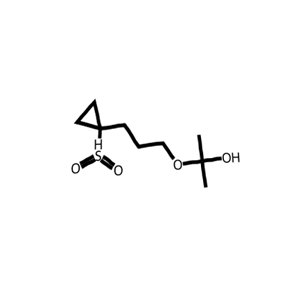 CC(C)(O)OCCCC1([SH](=O)=O)CC1